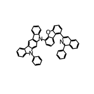 c1ccc(-c2nc(-c3cccc4oc5c(-n6c7ccccc7c7cc8c9ccccc9n(-c9ccccc9)c8cc76)cccc5c34)cc3ccccc23)cc1